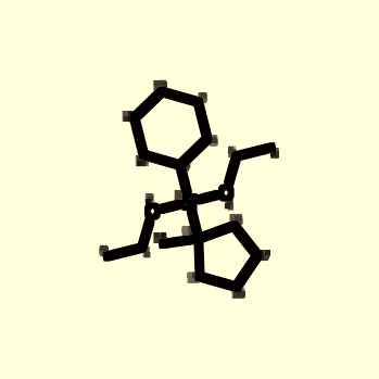 CCO[Si](OCC)(C1CCCCC1)C1(C)CCCC1